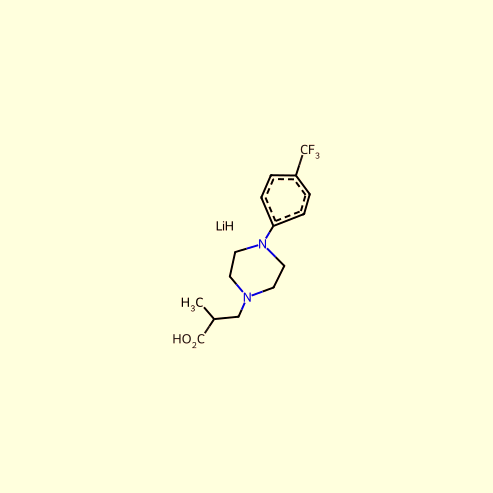 CC(CN1CCN(c2ccc(C(F)(F)F)cc2)CC1)C(=O)O.[LiH]